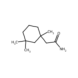 CC1(C)CCCC(C)(CC(N)=O)C1